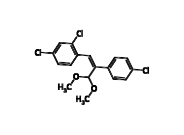 COC(OC)C(=Cc1ccc(Cl)cc1Cl)c1ccc(Cl)cc1